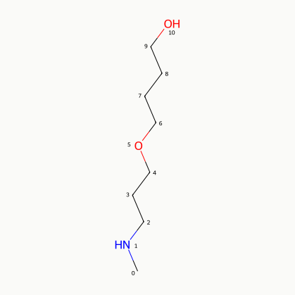 CNCCCOCCCCO